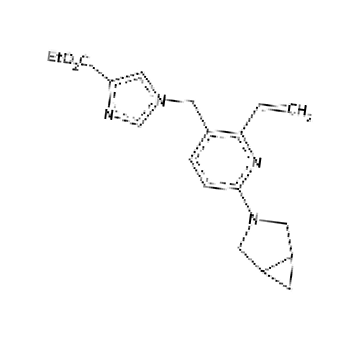 C=Cc1nc(N2CC3CC3C2)ccc1Cn1cnc(C(=O)OCC)c1